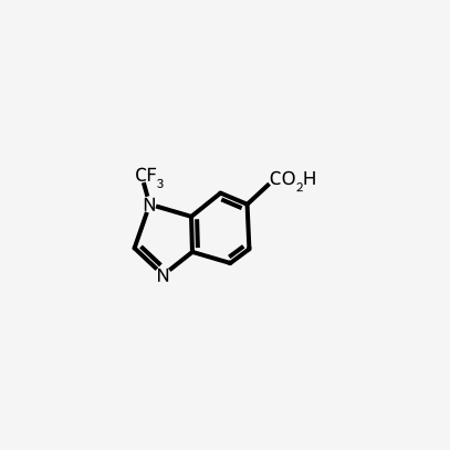 O=C(O)c1ccc2ncn(C(F)(F)F)c2c1